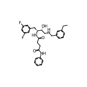 CCc1cccc(CNC[C@@H](O)[C@H](Cc2cc(F)cc(F)c2)NC(=O)CCC(=O)Nc2ccccc2)c1